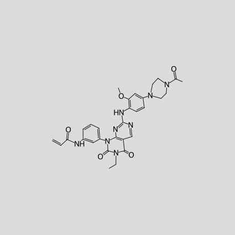 C=CC(=O)Nc1cccc(-n2c(=O)n(CC)c(=O)c3cnc(Nc4ccc(N5CCN(C(C)=O)CC5)cc4OC)nc32)c1